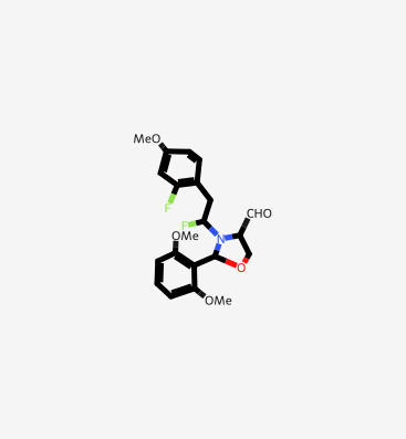 COc1ccc(CC(F)N2C(C=O)COC2c2c(OC)cccc2OC)c(F)c1